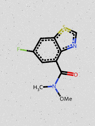 CON(C)C(=O)c1cc(F)cc2scnc12